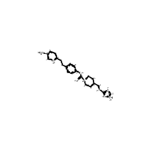 Cc1ccc(CCc2ccc(OC(=O)N3CCC(CSc4nc[nH]n4)CC3)cc2)nc1